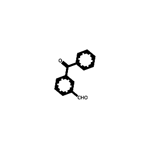 O=Cc1cccc(C(=O)c2ccccc2)c1